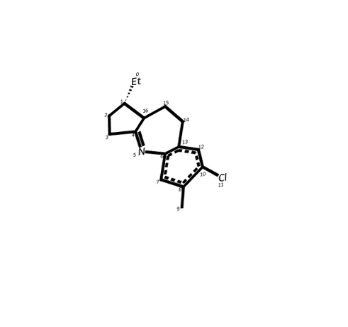 CC[C@H]1CCC2=Nc3cc(C)c(Cl)cc3CCC21